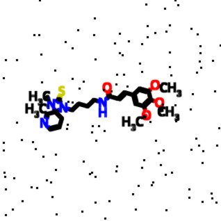 COc1cc(/C=C/C(=O)NCCCCN2C(=S)[N+](C)(C)C23C=NC=CC3)cc(OC)c1OC